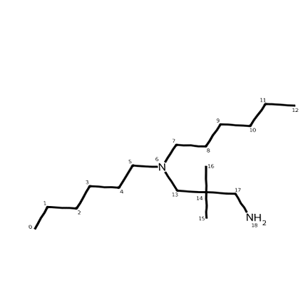 CCCCCCN(CCCCCC)CC(C)(C)CN